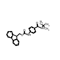 CC(C)(C)NC(=O)c1ccc(NC(=O)OCC2c3ccccc3-c3ccccc32)cc1